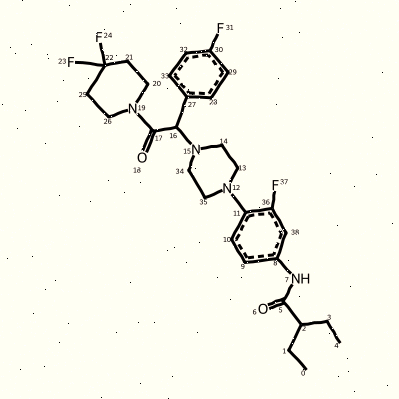 CCC(CC)C(=O)Nc1ccc(N2CCN(C(C(=O)N3CCC(F)(F)CC3)c3ccc(F)cc3)CC2)c(F)c1